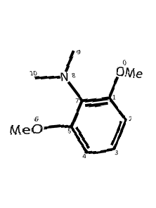 COc1cccc(OC)c1N(C)C